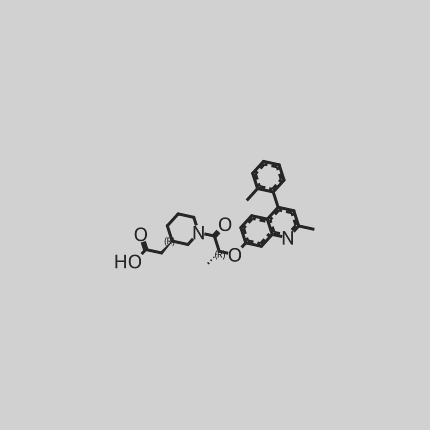 Cc1cc(-c2ccccc2C)c2ccc(O[C@H](C)C(=O)N3CCC[C@H](CC(=O)O)C3)cc2n1